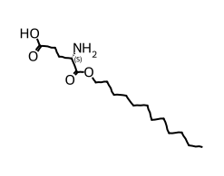 CCCCCCCCCCCCOC(=O)[C@@H](N)CCC(=O)O